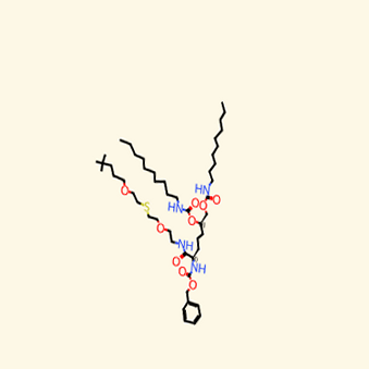 CCCCCCCCCCNC(=O)OC[C@@H](CCC[C@@H](NC(=O)OCc1ccccc1)C(=O)NCCOCCSCCOCCCC(C)(C)C)OC(=O)NCCCCCCCCCC